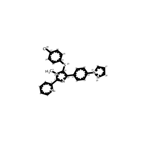 Cn1c(-c2ccccn2)nc(-c2ccc(-n3cccn3)cc2)c1Sc1ccc(Cl)cc1